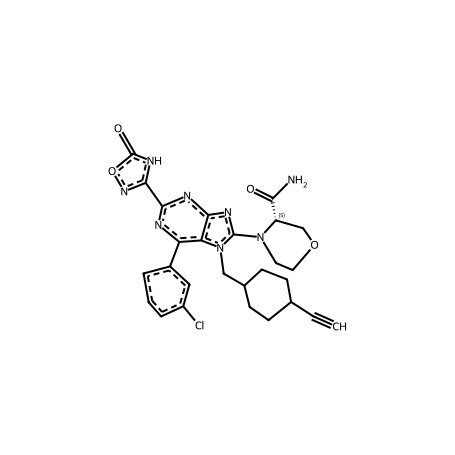 C#CC1CCC(Cn2c(N3CCOC[C@H]3C(N)=O)nc3nc(-c4noc(=O)[nH]4)nc(-c4cccc(Cl)c4)c32)CC1